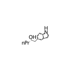 CCC[C@H](O)Cc1ccc2[nH]ccc2c1